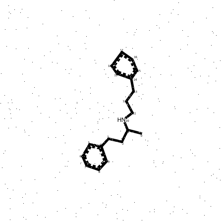 CC(CCc1ccccc1)NCCCc1ccccc1